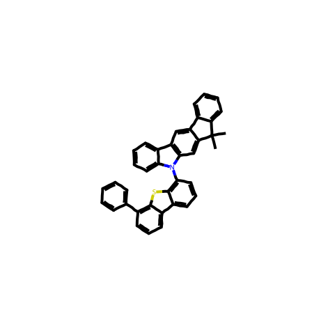 CC1(C)c2ccccc2-c2cc3c4ccccc4n(-c4cccc5c4sc4c(-c6ccccc6)cccc45)c3cc21